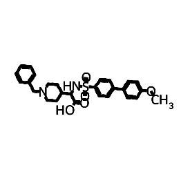 COc1ccc(-c2ccc(S(=O)(=O)NC(C(=O)O)C3CCN(Cc4ccccc4)CC3)cc2)cc1